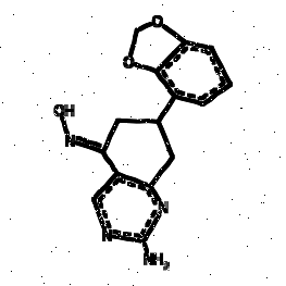 Nc1ncc2c(n1)CC(c1cccc3c1OCO3)C/C2=N\O